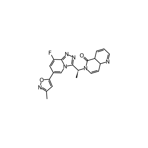 Cc1cc(-c2cc(F)c3nnc([C@H](C)N4C=CC5N=CC=CC5C4=O)n3c2)on1